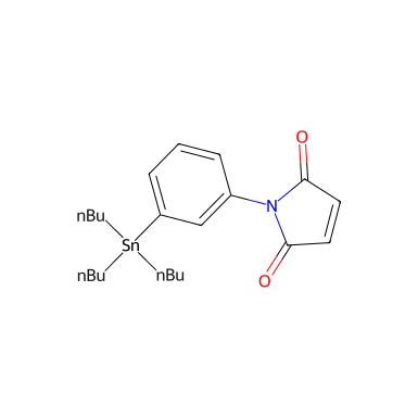 CCC[CH2][Sn]([CH2]CCC)([CH2]CCC)[c]1cccc(N2C(=O)C=CC2=O)c1